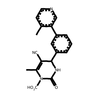 CC1=C(C#N)C(c2cccc(-c3cnccc3C)c2)NC(=O)N1C(=O)O